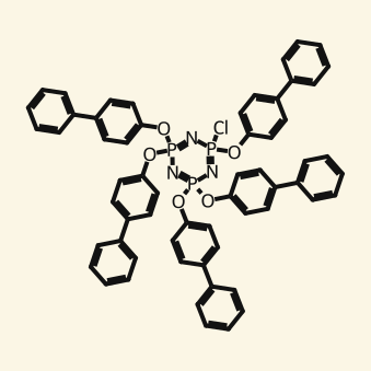 ClP1(Oc2ccc(-c3ccccc3)cc2)=NP(Oc2ccc(-c3ccccc3)cc2)(Oc2ccc(-c3ccccc3)cc2)=NP(Oc2ccc(-c3ccccc3)cc2)(Oc2ccc(-c3ccccc3)cc2)=N1